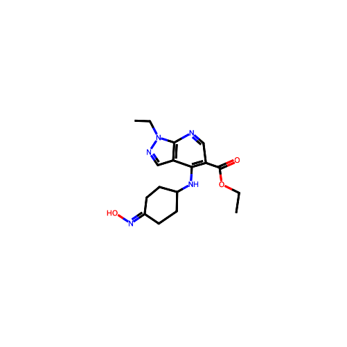 CCOC(=O)c1cnc2c(cnn2CC)c1NC1CCC(=NO)CC1